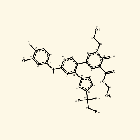 CCOC(=O)c1cc(-c2cnc(Nc3ccc(F)c(Cl)c3)nc2-n2ccc(C(F)(F)CF)n2)cn(CCO)c1=O